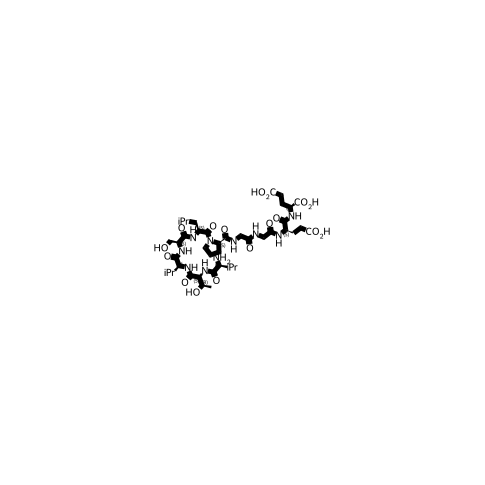 CC(C)C[C@H](NC(=O)[C@H](CO)NC(=O)[C@@H](NC(=O)[C@@H](NC(=O)[C@@H](N)C(C)C)[C@@H](C)O)C(C)C)C(=O)N1CCC[C@H]1C(=O)NCC(=O)NCC(=O)N[C@@H](CCC(=O)O)C(=O)N[C@@H](CCC(=O)O)C(=O)O